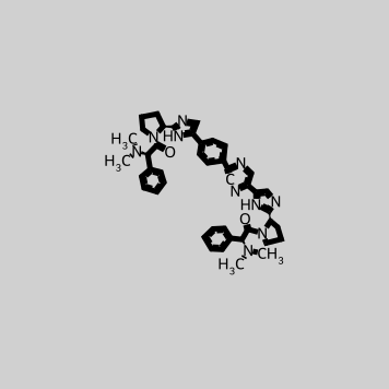 CN(C)[C@@H](C(=O)N1CCC[C@H]1c1ncc(-c2ccc(-c3cnc(-c4cnc([C@@H]5CCCN5C(=O)[C@@H](c5ccccc5)N(C)C)[nH]4)cn3)cc2)[nH]1)c1ccccc1